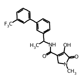 CC(NC(=O)C1=C(O)C(=O)N(C)C1)c1cccc(-c2cccc(C(F)(F)F)c2)c1